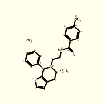 C[C@@H]1Cc2ccsc2[C@@H](c2ccccc2)N1CCNC(=O)c1ccc([N+](=O)[O-])cc1.Cl